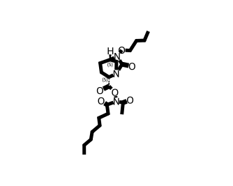 CCCCCCCC(=O)N(OC(=O)[C@@H]1CC[C@H]2CN1C(=O)N2OCCCC)C(C)=O